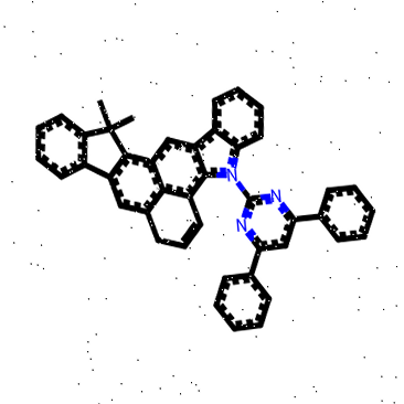 CC1(C)c2ccccc2-c2cc3c4c(c5c(cc4c21)c1ccccc1n5-c1nc(-c2ccccc2)cc(-c2ccccc2)n1)C=CC3